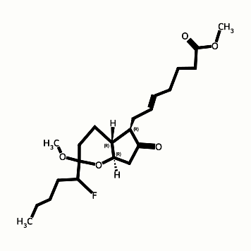 CCCCC(F)C1(OC)CC[C@H]2[C@@H](CC(=O)[C@@H]2CC=CCCCC(=O)OC)O1